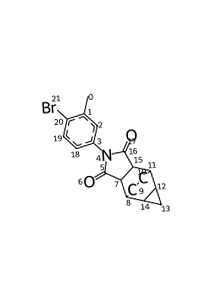 Cc1cc(N2C(=O)C3C4CCC(C5CC54)C3C2=O)ccc1Br